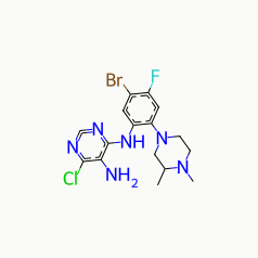 CC1CN(c2cc(F)c(Br)cc2Nc2ncnc(Cl)c2N)CCN1C